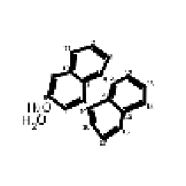 O.O.c1ccc2ccccc2c1.c1ccc2ccccc2c1